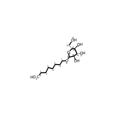 O=C(O)CCCCCCCOC1O[C@H](CO)[C@@H](O)[C@H](O)[C@H]1O